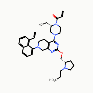 C=CC(=O)N1CCN(c2nc(OC[C@@H]3CCCN3CCC(=O)O)nc3c2CCN(c2cccc4cccc(C=C)c24)C3)C[C@@H]1CC#N